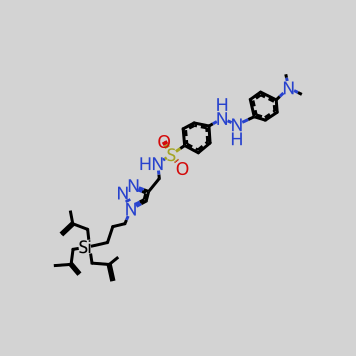 C=C(C)C[Si](CCCn1cc(CNS(=O)(=O)c2ccc(NNc3ccc(N(C)C)cc3)cc2)nn1)(CC(=C)C)CC(=C)C